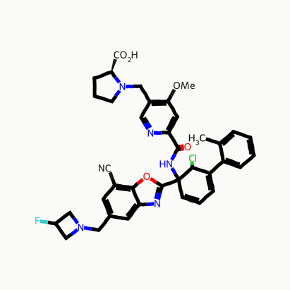 COc1cc(C(=O)NC2(c3nc4cc(CN5CC(F)C5)cc(C#N)c4o3)C=CC=C(c3ccccc3C)C2Cl)ncc1CN1CCC[C@H]1C(=O)O